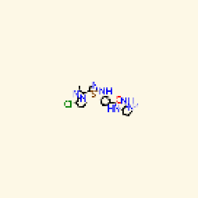 Cc1nc2c(Cl)cccn2c1-c1cnc(Nc2cccc(C(=O)Nc3cccnc3N)c2)s1